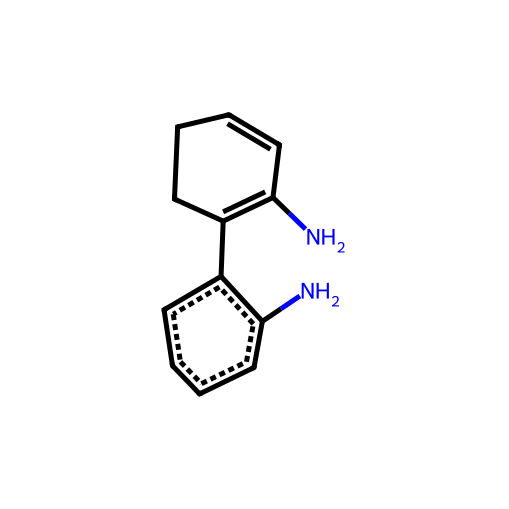 NC1=C(c2ccccc2N)CCC=C1